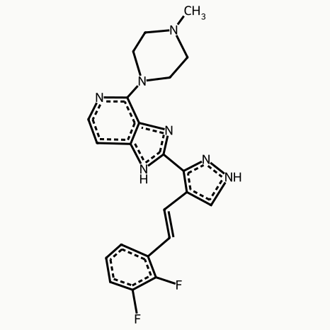 CN1CCN(c2nccc3[nH]c(-c4n[nH]cc4/C=C/c4cccc(F)c4F)nc23)CC1